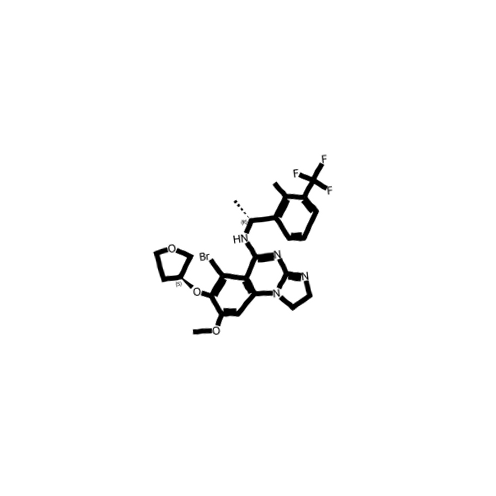 COc1cc2c(c(Br)c1O[C@H]1CCOC1)C(N[C@H](C)c1cccc(C(F)(F)F)c1C)=NC1=NCCN12